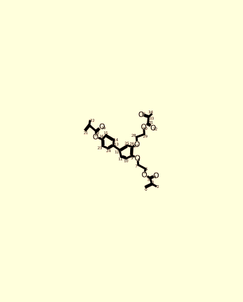 C=C(C)C(=O)OCCOc1ccc(-c2ccc(OC(=O)C(=C)C)cc2)cc1OCCOC(=O)C(C)=O